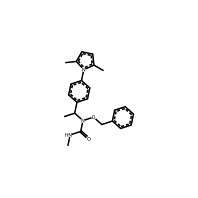 CNC(=O)N(OCc1ccccc1)C(C)c1ccc(-n2c(C)ccc2C)cc1